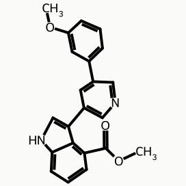 COC(=O)c1cccc2[nH]cc(-c3cncc(-c4cccc(OC)c4)c3)c12